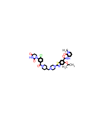 CC(C)Oc1cc2nc(N3CCN(CC4CCN(C(=O)c5ccc(Cl)c(N6CCC(=O)NC6=O)c5)CC4)CC3)sc2cc1C(=O)Nc1cccn(C)c1=O